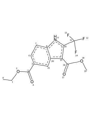 CCOC(=O)c1ccc2[nH]c(C(F)(F)F)c(C(=O)OC)c2c1